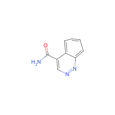 NC(=O)c1cnnc2ccccc12